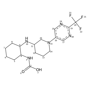 O=C(O)NC1CCCCC1NC1CCCN(c2cnc(C(F)(F)F)nc2)C1